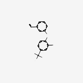 O=Cc1cccc(Oc2ccc(C(F)(F)F)cc2Cl)c1